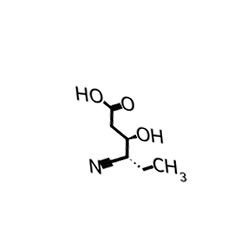 CC[C@H](C#N)[C@H](O)CC(=O)O